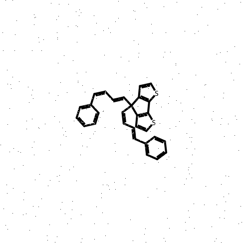 C(=C/C1(/C=C/C=C\c2ccccc2)c2ccsc2-c2sccc21)/C=C/c1ccccc1